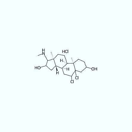 CNC1C(O)C[C@H]2[C@@H]3CC(Cl)C4(Cl)CC(O)CC[C@]4(C)[C@@H]3CC[C@]12C.Cl